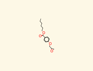 CCCCCCOC(=O)c1ccc(OCC2CO2)cc1